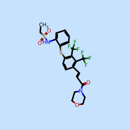 CCS(=O)(=O)Nc1ccccc1Sc1ccc(/C=C/C(=O)N2CCOCC2)c(C(F)(F)F)c1C(F)(F)F